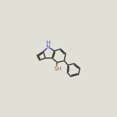 SC1C2=C(C=CC1c1ccccc1)NC1=C=CC12